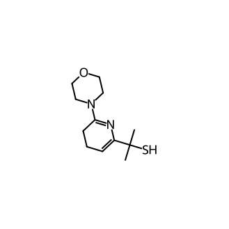 CC(C)(S)C1=CCCC(N2CCOCC2)=N1